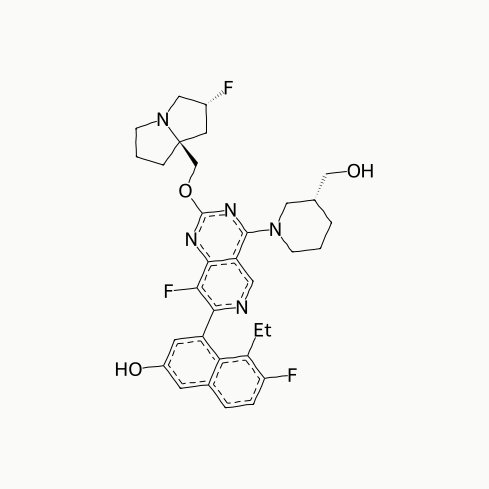 CCc1c(F)ccc2cc(O)cc(-c3ncc4c(N5CCC[C@@H](CO)C5)nc(OC[C@@]56CCCN5C[C@H](F)C6)nc4c3F)c12